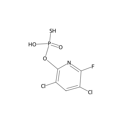 O=P(O)(S)Oc1nc(F)c(Cl)cc1Cl